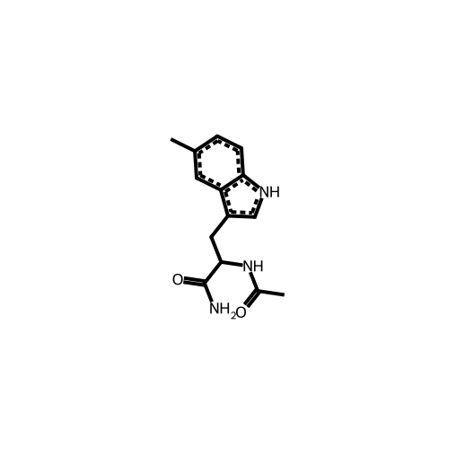 CC(=O)NC(Cc1c[nH]c2ccc(C)cc12)C(N)=O